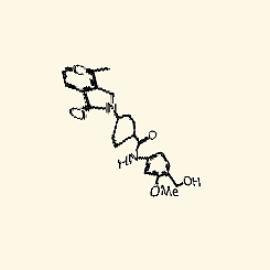 COc1cc(NC(=O)C2CCC(N3Cc4c(C)cccc4C3=O)CC2)ccc1CO